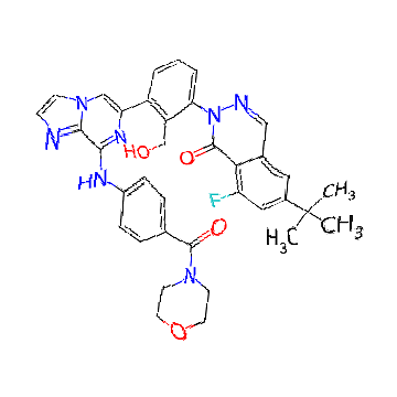 CC(C)(C)c1cc(F)c2c(=O)n(-c3cccc(-c4cn5ccnc5c(Nc5ccc(C(=O)N6CCOCC6)cc5)n4)c3CO)ncc2c1